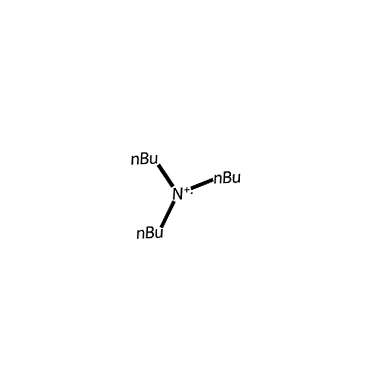 CCCC[N+](CCCC)CCCC